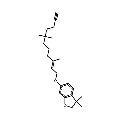 C#CCOC(C)(C)CCC/C(C)=C/COc1ccc2c(c1)OCC2(C)C